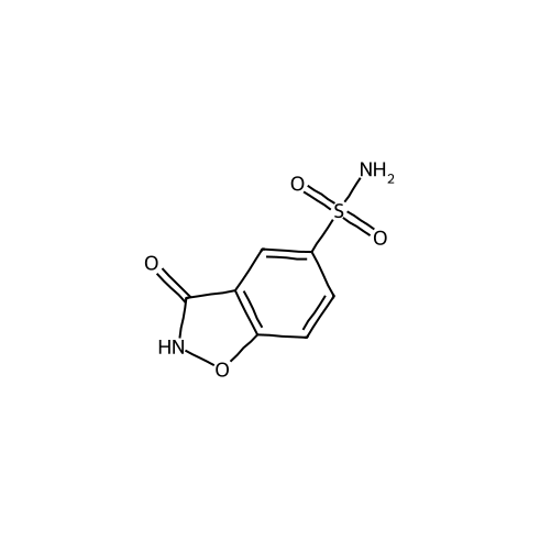 NS(=O)(=O)c1ccc2o[nH]c(=O)c2c1